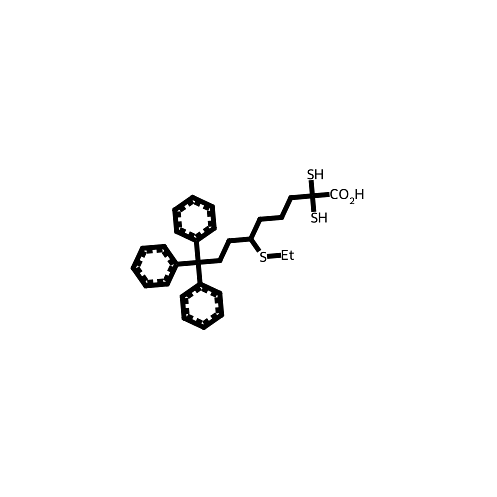 CCSC(CCCC(S)(S)C(=O)O)CCC(c1ccccc1)(c1ccccc1)c1ccccc1